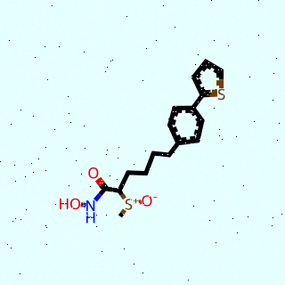 C[S+]([O-])C(CCCCc1ccc(-c2cccs2)cc1)C(=O)NO